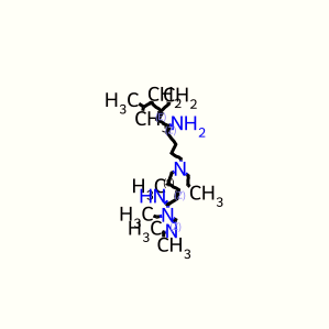 C=C/C(=C\C(N)=C\CCCN(CCC)C[C@@H](C)/C=C\C(=N)N(/C=N\C(C)C)CC)C(=C)C(C)C